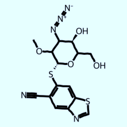 COC1C(N=[N+]=[N-])[C@@H](O)C(CO)O[C@@H]1Sc1cc2scnc2cc1C#N